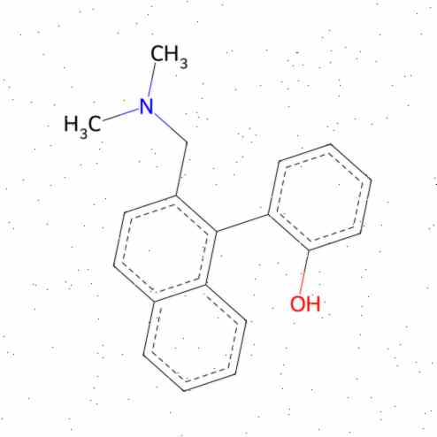 CN(C)Cc1ccc2ccccc2c1-c1ccccc1O